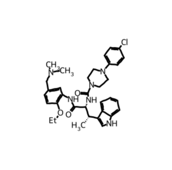 CCOc1ccc(CN(C)C)cc1NC(=O)[C@H](NC(=O)N1CCN(c2ccc(Cl)cc2)CC1)[C@@H](C)c1c[nH]c2ccccc12